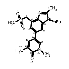 CCCCn1c(C)nc2c(CS(C)(=O)=O)cc(-c3cc(C)c(=O)n(C)c3)cc21